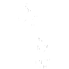 O=C(NO)c1cnc(N2CCC(COC(=O)c3cccc4c[nH]nc34)CC2)nc1